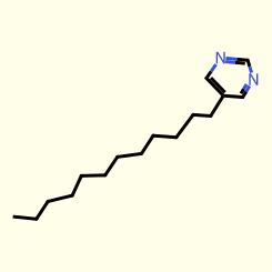 CCCCCCCCCCCCc1cncnc1